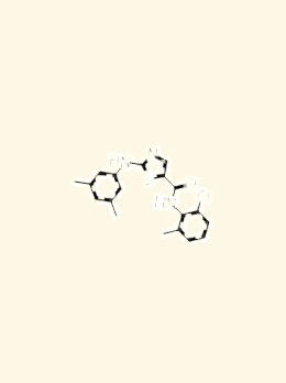 Cc1cc(C)cc(Nc2ncc(C(=O)Nc3c(C)cccc3Cl)s2)c1